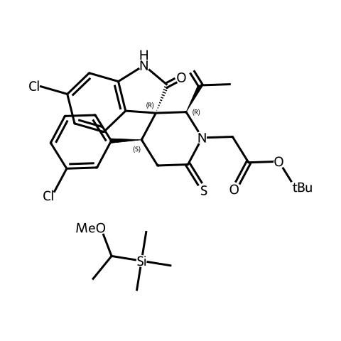 C=C(C)[C@H]1N(CC(=O)OC(C)(C)C)C(=S)C[C@@H](c2cccc(Cl)c2)[C@]12C(=O)Nc1cc(Cl)ccc12.COC(C)[Si](C)(C)C